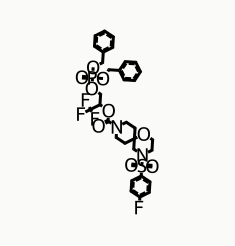 O=C(OC(COP(=O)(OCc1ccccc1)OCc1ccccc1)C(F)(F)F)N1CCC2(CC1)CN(S(=O)(=O)c1ccc(F)cc1)CCO2